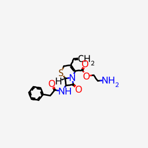 C=CC1=C(C(=O)OCCN)N2C(=O)C(NC(=O)Cc3ccccc3)[C@@H]2SC1